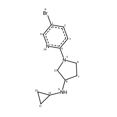 Brc1ccc(N2CCC(NC3CC3)C2)nc1